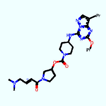 CC(C)Oc1nc(NC2CCN(C(=O)OC3CCN(C(=O)/C=C/CN(C)C)C3)CC2)n2ncc(C(C)C)c2n1